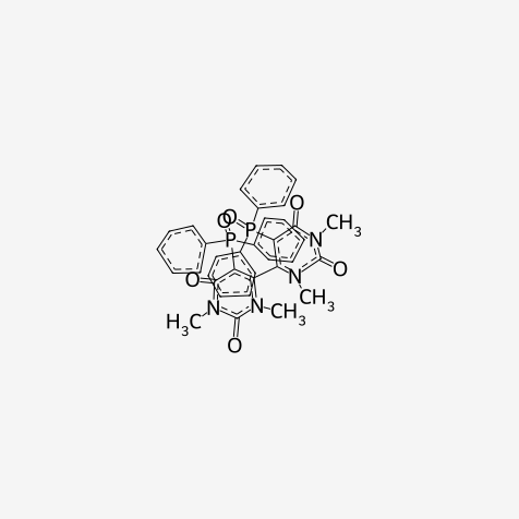 Cn1c(-c2c(P(=O)(c3ccccc3)c3ccccc3)c(=O)n(C)c(=O)n2C)c(P(=O)(c2ccccc2)c2ccccc2)c(=O)n(C)c1=O